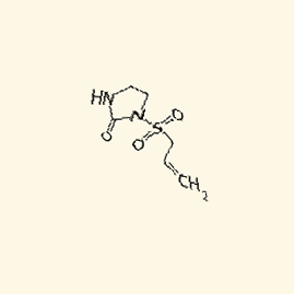 C=CCS(=O)(=O)N1CCNC1=O